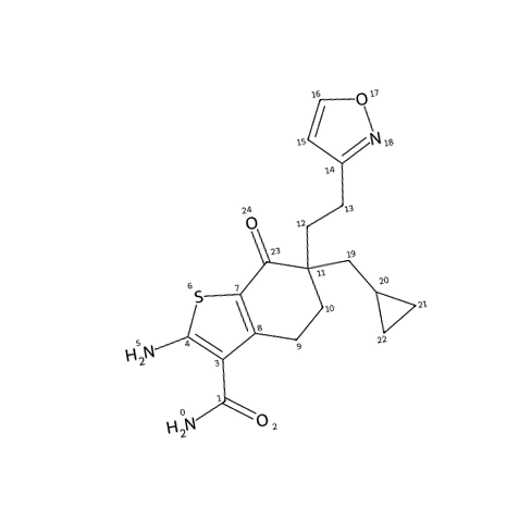 NC(=O)c1c(N)sc2c1CCC(CCc1ccon1)(CC1CC1)C2=O